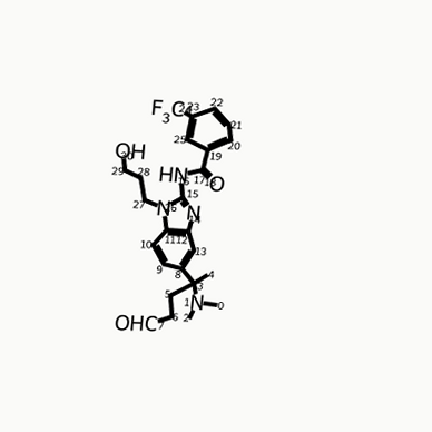 CN(C)C(C)(CCC=O)c1ccc2c(c1)nc(NC(=O)c1cccc(C(F)(F)F)c1)n2CCCO